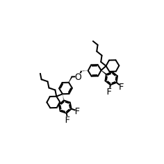 CCCCCC1([C@]2(c3ccc(F)c(F)c3)C=C[C@H](COC[C@H]3C=C[C@@](c4ccc(F)c(F)c4)(C4(CCCCC)CCCCC4)C=C3)C=C2)CCCCC1